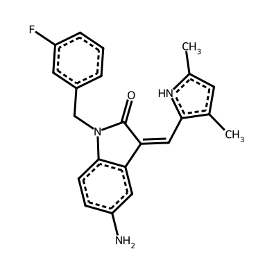 Cc1cc(C)c(/C=C2\C(=O)N(Cc3cccc(F)c3)c3ccc(N)cc32)[nH]1